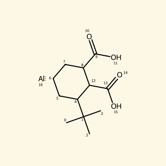 CC(C)(C)C1CCCC(C(=O)O)C1C(=O)O.[Al]